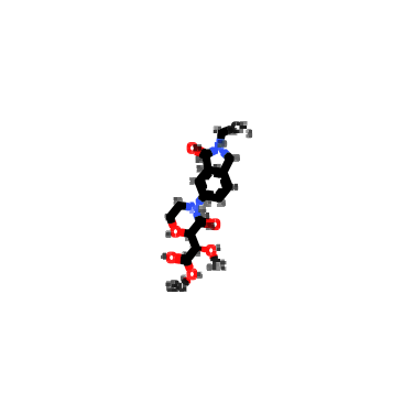 CCO[C@@H](C(=O)OC(C)(C)C)C1OCCN(c2ccc3c(c2)C(=O)N(CC(F)(F)F)C3)C1=O